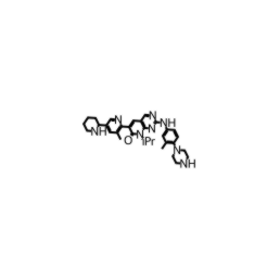 Cc1cc(Nc2ncc3cc(-c4ncc(C5CCCCN5)cc4C)c(=O)n(C(C)C)c3n2)ccc1N1CCNCC1